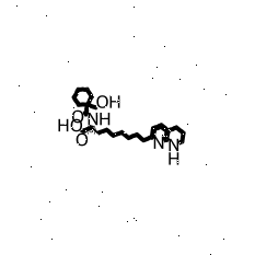 O=C(O)[C@H](CCCCCCCc1ccc2c(n1)NCCC2)NC(=O)C1(CO)CCCCC1